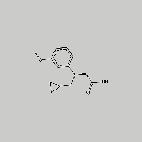 COc1cccc([C@@H](CC(=O)O)CC2CC2)c1